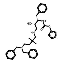 CC(C)(CCN(Cc1ccccc1)Cc1ccccc1)CNC[C@H](O)[C@H](Cc1ccccc1)NC(=O)Oc1ccoc1